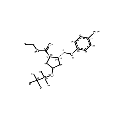 CCOC(=O)[C@@H]1CC(O[Si](C)(C)C(C)(C)C)C[C@H]1COc1ccc(Cl)cc1